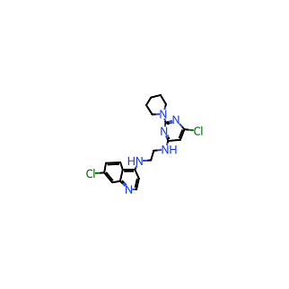 Clc1ccc2c(NCCNc3cc(Cl)nc(N4CCCCC4)n3)ccnc2c1